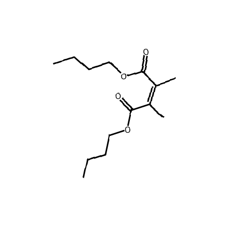 CCCCOC(=O)C(C)=C(C)C(=O)OCCCC